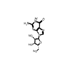 Nc1nc2c(ncn2C2O[C@H](CO)[C@@H](O)[C@H]2O)c(=O)[nH]1